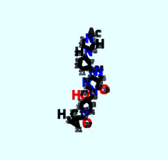 CC(=O)N1C[C@H]2C[C@@H]1CN2c1cccc(-n2ncc3c(=O)n(CC4(O)CCN(C(=O)C5(C)CC5)CC4)cnc32)c1